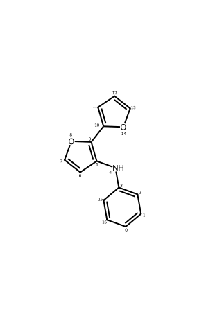 c1ccc(Nc2ccoc2-c2ccco2)cc1